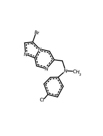 CN(Cc1cn2c(Br)cnc2cn1)c1ccc(Cl)cc1